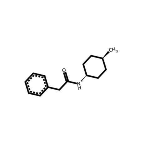 C[C@H]1CC[C@H](NC(=O)Cc2ccccc2)CC1